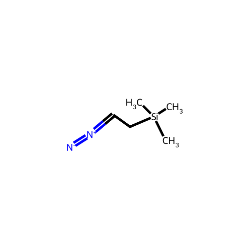 C[Si](C)(C)CC=[N+]=[N-]